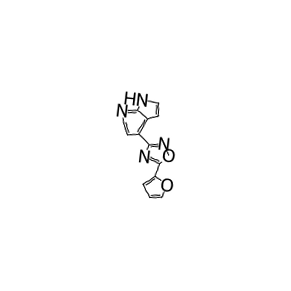 c1coc(-c2nc(-c3ccnc4[nH]ccc34)no2)c1